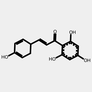 O=C(C=CC1C=CC(O)=CC1)c1c(O)cc(O)cc1O